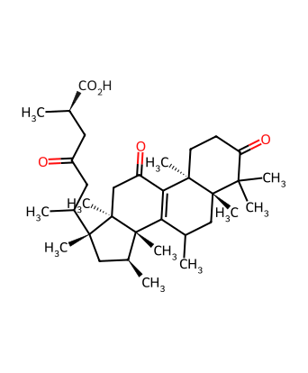 CC1C[C@@]2(C)C(C)(C)C(=O)CC[C@]2(C)C2=C1[C@]1(C)[C@@H](C)C[C@](C)(C(C)CC(=O)C[C@@H](C)C(=O)O)[C@@]1(C)CC2=O